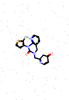 Cc1sccc1N1C(=O)N(CC2=NC=CC(=O)C2)Cc2cccnc21